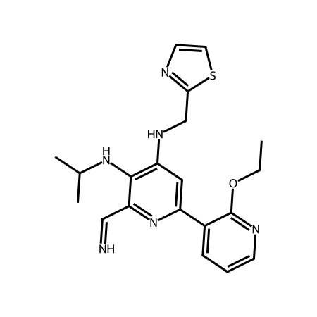 CCOc1ncccc1-c1cc(NCc2nccs2)c(NC(C)C)c(C=N)n1